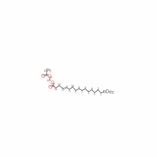 CCCCCCCCCCCCCCCCCCCCCCCCCC(=O)OCOC(=O)C(C)C